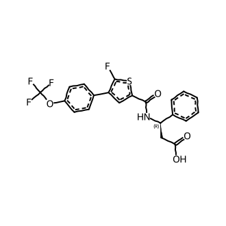 O=C(O)C[C@@H](NC(=O)c1cc(-c2ccc(OC(F)(F)F)cc2)c(F)s1)c1ccccc1